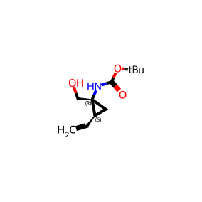 C=C[C@@H]1C[C@@]1(CO)NC(=O)OC(C)(C)C